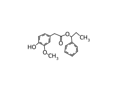 CCC(OC(=O)Cc1ccc(O)c(OC)c1)c1ccccc1